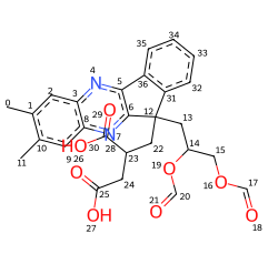 Cc1cc2nc3c(nc2cc1C)C(CC(COC=O)OC=O)(CC(CC(=O)O)C(=O)O)c1ccccc1-3